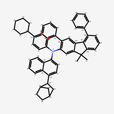 CC1(C)c2cc(N(c3ccc(C4CCCCC4)cc3)c3ccc(C4CC5CCC4C5)c4ccccc34)c(-c3ccccc3)cc2-c2c(-c3ccccc3)cccc21